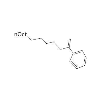 C=C(CCCCCCCCCCCCC)c1ccccc1